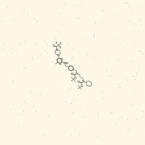 Cc1cc(N2CCN(C(=O)C(F)(F)F)CC2)nc(NCc2ccc(CN(CCCN(C(=O)OC(C)(C)C)C3CCCCC3)C(=O)OC(C)(C)C)cc2)n1